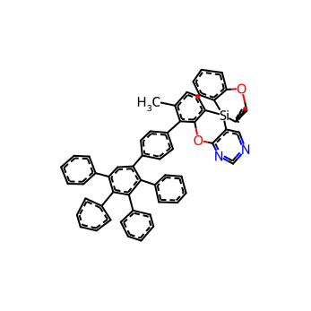 Cc1ccc2c(c1-c1ccc(-c3cc(-c4ccccc4)c(-c4ccccc4)c(-c4ccccc4)c3-c3ccccc3)cc1)Oc1ncncc1[Si]21c2ccccc2Oc2ccccc21